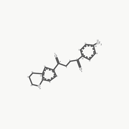 O=C(CCC(=O)c1ccc2c(c1)CCCO2)c1ccc(C(F)(F)F)cc1